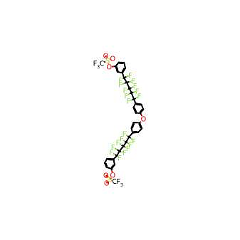 O=S(=O)(Oc1cccc(C(F)(F)C(F)(F)C(F)(F)C(F)(F)C(F)(F)c2ccc(Oc3ccc(C(F)(F)C(F)(F)C(F)(F)C(F)(F)C(F)(F)c4cccc(OS(=O)(=O)C(F)(F)F)c4)cc3)cc2)c1)C(F)(F)F